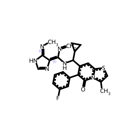 C=N/C(NC(c1cc2scc(C)n2c(=O)c1-c1cccc(F)c1)C1CC1)=C1/N=CN/C1=N/C